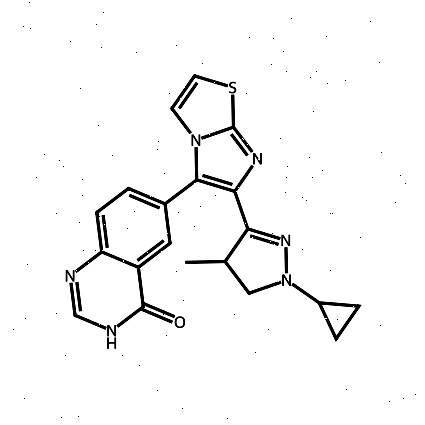 CC1CN(C2CC2)N=C1c1nc2sccn2c1-c1ccc2nc[nH]c(=O)c2c1